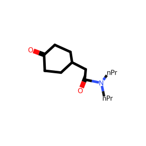 CCCN(CCC)C(=O)CC1CCC(=O)CC1